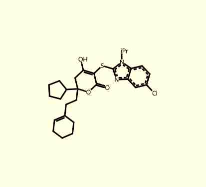 CC(C)n1c(SC2=C(O)CC(CCC3=CCCCC3)(C3CCCC3)OC2=O)nc2cc(Cl)ccc21